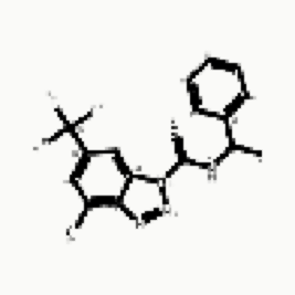 CC(NC(=O)n1nnc2c(Cl)cc(C(F)(F)F)cc21)c1ccccc1